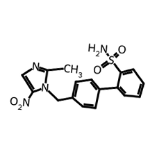 Cc1ncc([N+](=O)[O-])n1Cc1ccc(-c2ccccc2S(N)(=O)=O)cc1